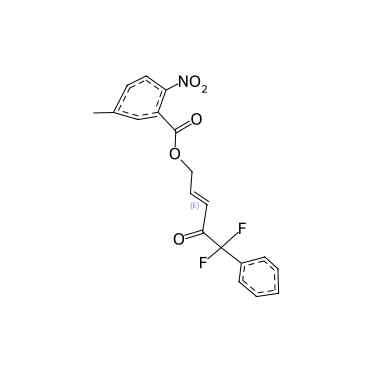 Cc1ccc([N+](=O)[O-])c(C(=O)OC/C=C/C(=O)C(F)(F)c2ccccc2)c1